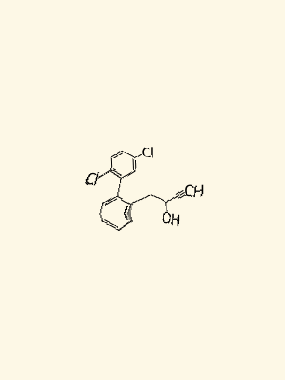 C#CC(O)Cc1ccccc1-c1cc(Cl)ccc1Cl